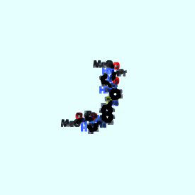 COC(=O)N[C@H](C(=O)N1CCC[C@H]1c1nc2c([nH]1)-c1sc(-c3ccc4c(ccc5nc([C@@H]6CCCN6C(=O)[C@@H](NC(=O)OC)C(C)C)[nH]c54)c3)nc1CC2)C(C)C